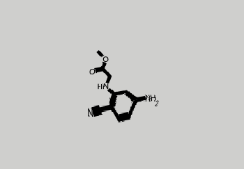 COC(=O)CNc1cc(N)ccc1C#N